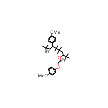 COc1ccc(OCCOC(CC(C)(C)C(C)(C)C(CC(C)(C)C(C)C)c2ccc(OC)cc2)C(C)(C)C(C)C)cc1